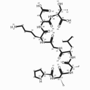 CC(C)C[C@H](NC(=O)[C@H](C)NC(=O)[C@H](C)NC(=O)[C@@H]1CCCN1)C(=O)NCC(=O)N[C@@H](CCCCN)C(=O)N[C@@H](CC(=O)O)C(=O)N[C@H](C(=O)O)[C@@H](C)O